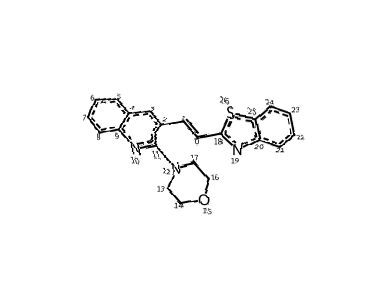 C(=C\c1cc2ccccc2nc1N1CCOCC1)/c1nc2ccccc2s1